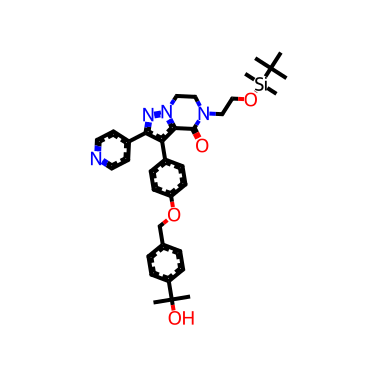 CC(C)(O)c1ccc(COc2ccc(-c3c(-c4ccncc4)nn4c3C(=O)N(CCO[Si](C)(C)C(C)(C)C)CC4)cc2)cc1